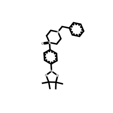 CC1(C)OB(c2ccc(P3(=O)CCN(Cc4ccccc4)CC3)cc2)OC1(C)C